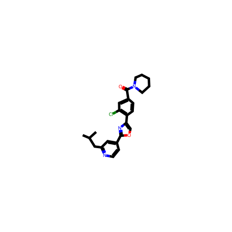 CC(C)Cc1cc(-c2nc(-c3ccc(C(=O)N4CCCCC4)cc3Cl)co2)ccn1